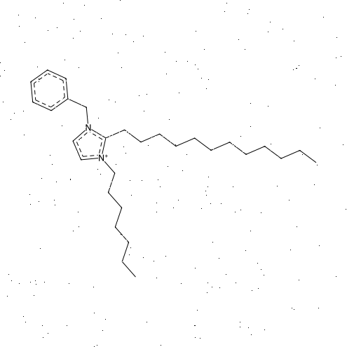 CCCCCCCCCCCCc1n(Cc2ccccc2)cc[n+]1CCCCCCC